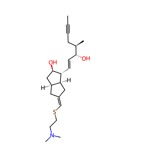 CC#CC[C@@H](C)[C@H](O)/C=C/[C@@H]1[C@H]2C/C(=C/SCCN(C)C)C[C@H]2C[C@H]1O